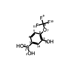 OB(O)c1ccc(OC(F)(F)F)c(O)c1